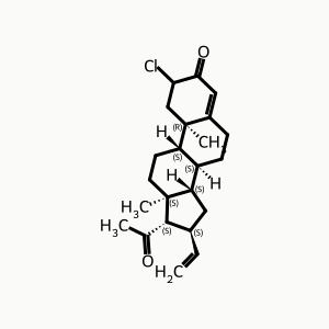 C=C[C@@H]1C[C@H]2[C@@H]3CCC4=CC(=O)C(Cl)C[C@]4(C)[C@H]3CC[C@]2(C)[C@H]1C(C)=O